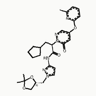 Cc1cccc(Oc2cnn(C(CC3CCCC3)C(=O)Nc3ccn(C[C@@H]4COC(C)(C)O4)n3)c(=O)c2)n1